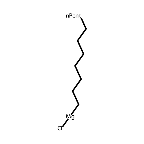 CCCCCCCCCCC[CH2][Mg][Cl]